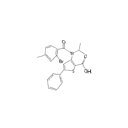 Cc1ccc(C(=O)N(c2cc(-c3ccccc3)sc2C(=O)O)C(C)C)c(Br)c1